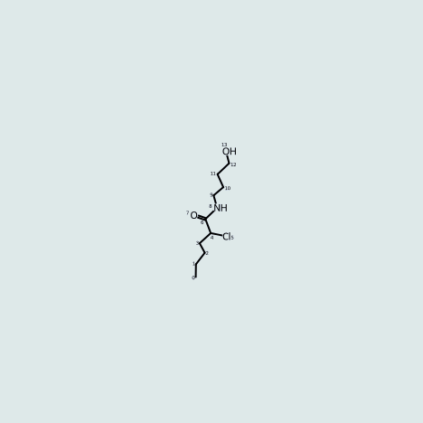 CCCCC(Cl)C(=O)NCCCCO